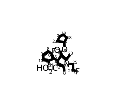 CC1=C(C(=O)O)C(c2c(F)cccc2Cl)C(C(=O)OC2CCCC2)=C(C)N1CCF